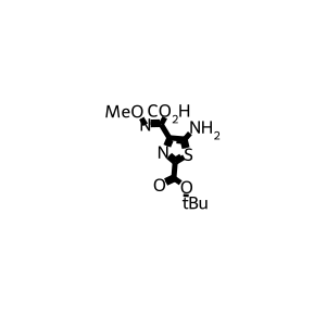 CON=C(C(=O)O)c1nc(C(=O)OC(C)(C)C)sc1N